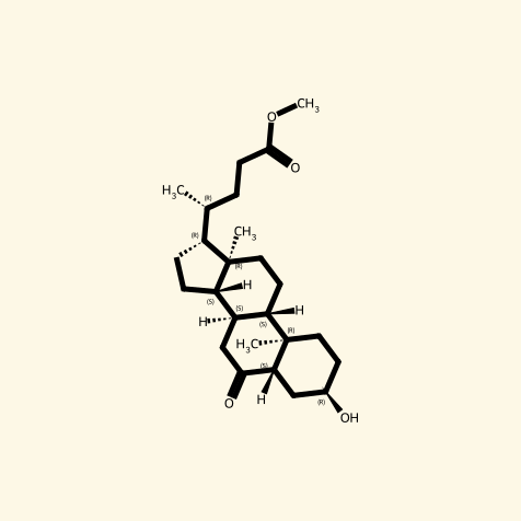 COC(=O)CC[C@@H](C)[C@H]1CC[C@H]2[C@@H]3CC(=O)[C@H]4C[C@H](O)CC[C@]4(C)[C@H]3CC[C@]12C